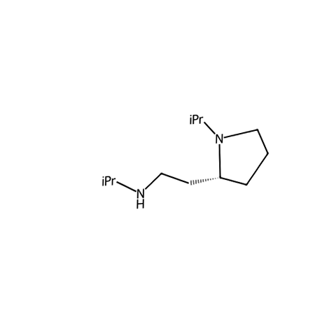 CC(C)NCC[C@H]1CCCN1C(C)C